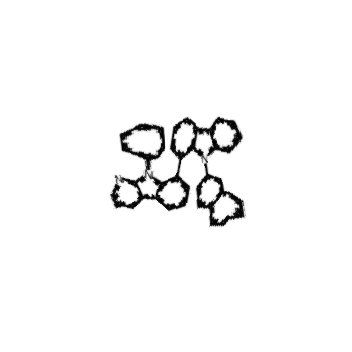 c1ccc(-n2c3ncccc3c3cccc(-c4cccc5c6ccccc6n(-c6ccc7ccccc7c6)c45)c32)cc1